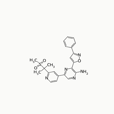 CC(C)(c1cc(-c2cnc(N)c(-c3cc(-c4ccccc4)no3)n2)ccn1)S(C)(=O)=O